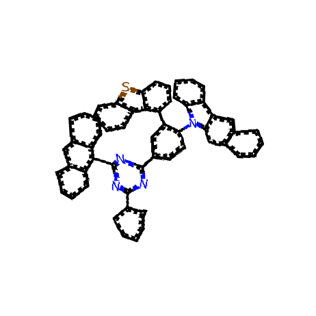 c1ccc(-c2nc(-c3ccc(-n4c5ccccc5c5cc6ccccc6cc54)c(-c4cccc5sc6ccccc6c45)c3)nc(-c3c4ccccc4cc4ccccc34)n2)cc1